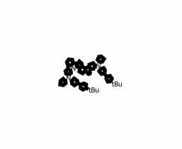 CC(C)(C)c1ccc(-c2ccc(N(c3ccccc3)c3ccc4c(c3)C(C)(C)c3ccc5c(ccc6c7cccc8c9ccc(N(c%10ccccc%10)c%10ccc(-c%11ccc(C(C)(C)C)cc%11)cc%10)cc9n(c56)c87)c3-4)cc2)cc1